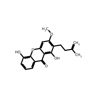 C=C(C)CCc1c(OC)cc2oc3c(O)cccc3c(=O)c2c1O